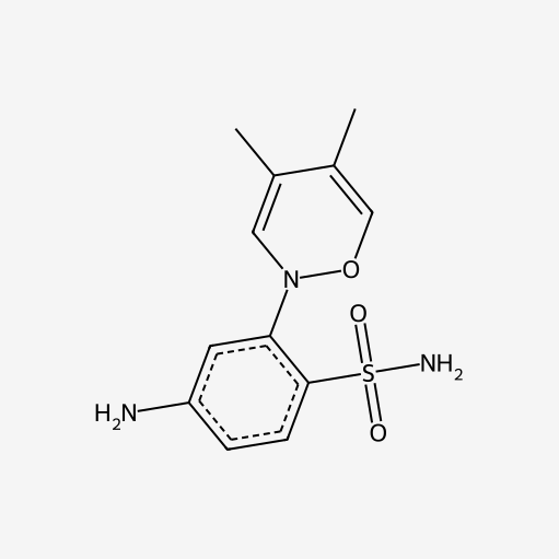 CC1=CON(c2cc(N)ccc2S(N)(=O)=O)C=C1C